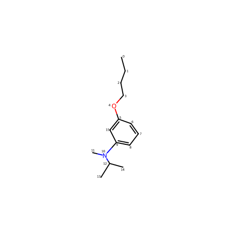 CCCCOc1cccc(N(C)C(C)C)c1